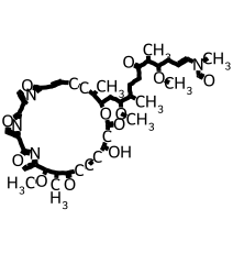 COC(CC1OC(=O)CC(O)CCCC(=O)C(C)C(OC)c2coc(n2)-c2coc(n2)-c2coc(n2)/C=C/CCC1C)C(C)CCC(=O)C(C)C(C/C=C/N(C)C=O)OC